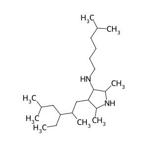 CCC(CC(C)C)C(C)CC1C(C)NC(C)C1NCCCCC(C)C